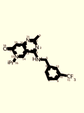 Cc1nc(NCc2cccc(C(F)(F)F)c2)c2cn(C(C)C)c(=O)cc2n1